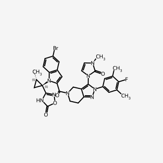 Cc1cc(-n2nc3c(c2-n2ccn(C)c2=O)CN(C(=O)c2cc4cc(Br)ccc4n2[C@@]2(c4noc(=O)[nH]4)C[C@@H]2C)CC3)cc(C)c1F